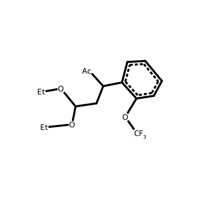 CCOC(CC(C(C)=O)c1ccccc1OC(F)(F)F)OCC